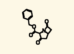 O=C1CC2CC(=O)N2C1C(=O)OCc1ccccc1